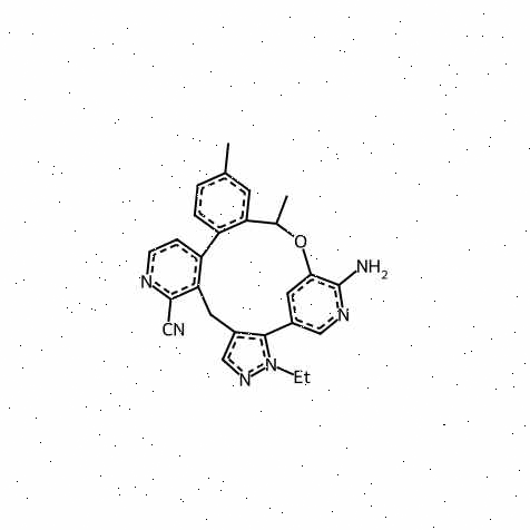 CCn1ncc2c1-c1cnc(N)c(c1)OC(C)c1cc(C)ccc1-c1ccnc(C#N)c1C2